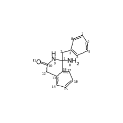 NC1(Cc2ccccc2)NC(=O)Cc2ccccc21